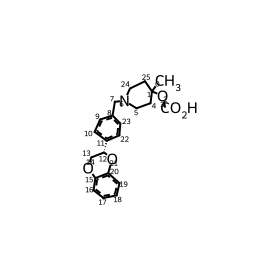 CC1(OC(=O)O)CCN(Cc2ccc([C@H]3COc4ccccc4O3)cc2)CC1